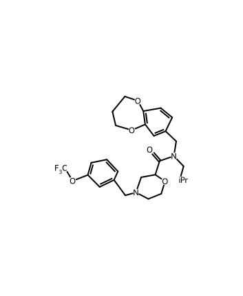 CC(C)CN(Cc1ccc2c(c1)OCCCO2)C(=O)C1CN(Cc2cccc(OC(F)(F)F)c2)CCO1